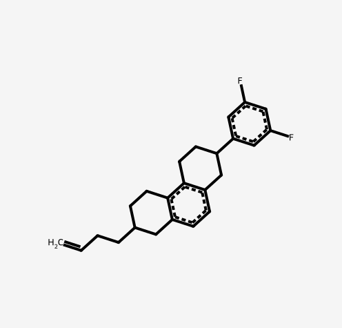 C=CCCC1CCc2c(ccc3c2CCC(c2cc(F)cc(F)c2)C3)C1